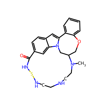 CN1CCNCCNSNC(=O)c2ccc3cc4n(c3c2)CC1COc1ccccc1-4